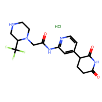 Cl.O=C1CCC(c2ccnc(NC(=O)CN3CCNCC3C(F)(F)F)c2)C(=O)N1